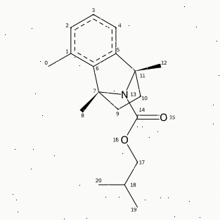 Cc1cccc2c1[C@@]1(C)CC[C@]2(C)N1C(=O)OCC(C)C